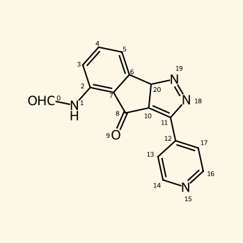 O=CNc1cccc2c1C(=O)C1=C(c3ccncc3)N=NC12